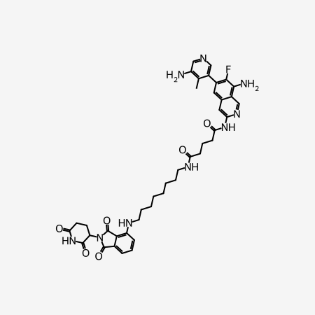 Cc1c(N)cncc1-c1cc2cc(NC(=O)CCCC(=O)NCCCCCCCCNc3cccc4c3C(=O)N(C3CCC(=O)NC3=O)C4=O)ncc2c(N)c1F